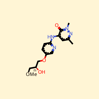 COC[C@H](O)COc1ccc(Nc2cc(C)nn(C)c2=O)nc1